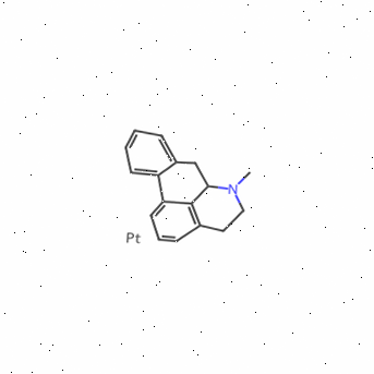 CN1CCc2cccc3c2C1Cc1ccccc1-3.[Pt]